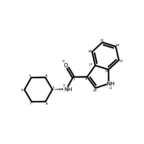 O=C(N[C@H]1[CH]CCCC1)c1c[nH]c2ccccc12